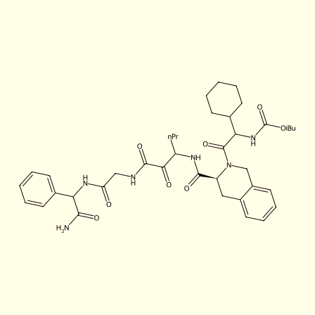 CCCC(NC(=O)[C@@H]1Cc2ccccc2CN1C(=O)C(NC(=O)OCC(C)C)C1CCCCC1)C(=O)C(=O)NCC(=O)NC(C(N)=O)c1ccccc1